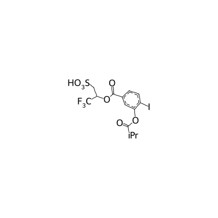 CC(C)C(=O)Oc1cc(C(=O)OC(CS(=O)(=O)O)C(F)(F)F)ccc1I